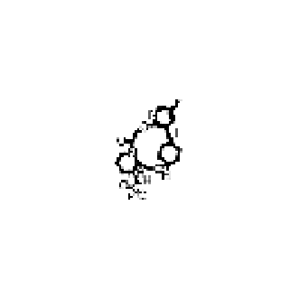 CS(=O)(=O)N[C@H]1CCCN2C(=O)COc3ncc(F)cc3[C@H]3CC[C@H](CC3)OC[C@@H]12